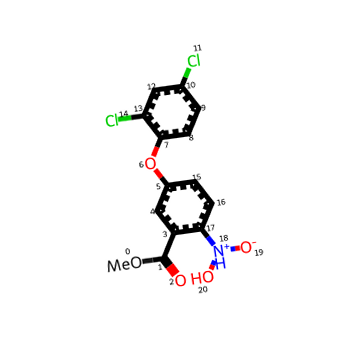 COC(=O)c1cc(Oc2ccc(Cl)cc2Cl)ccc1[NH+]([O-])O